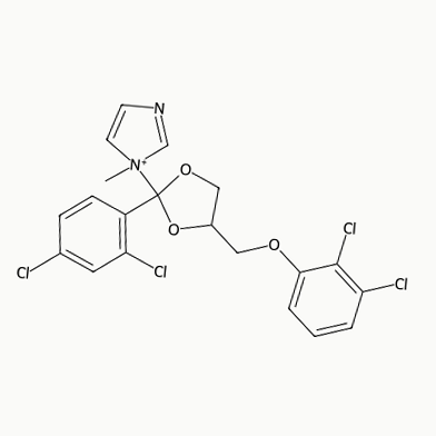 C[N+]1(C2(c3ccc(Cl)cc3Cl)OCC(COc3cccc(Cl)c3Cl)O2)C=CN=C1